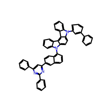 c1ccc(-c2cccc(-n3c4ccccc4c4c5c6ccccc6n(-c6cccc7cc(-c8cc(-c9ccccc9)nc(-c9ccccc9)n8)ccc67)c5ccc43)c2)cc1